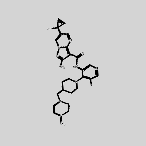 CN1CCN(CC2CCN(c3c(F)cncc3NC(=O)c3c(N)nn4cc(C5(C#N)C=C5)cnc34)CC2)CC1